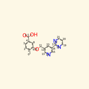 Cc1ccc(C(=O)O)cc1OCc1cncc(-c2ncccn2)c1